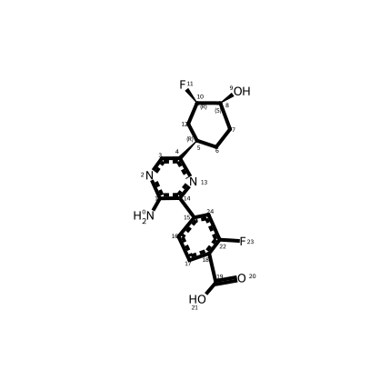 Nc1ncc([C@@H]2CC[C@H](O)[C@H](F)C2)nc1-c1ccc(C(=O)O)c(F)c1